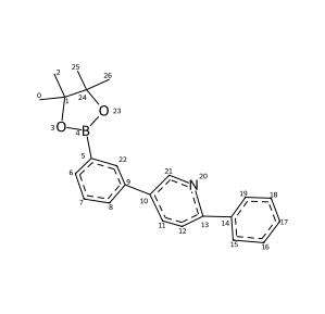 CC1(C)OB(c2cccc(-c3ccc(-c4ccccc4)nc3)c2)OC1(C)C